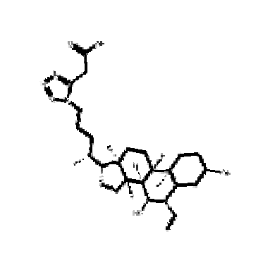 CC[C@@H]1C2C[C@H](O)CC[C@]2(C)[C@H]2CC[C@]3(C)[C@@H]([C@H](C)CCCn4nnnc4CC(=O)O)CC[C@H]3[C@@H]2[C@@H]1O